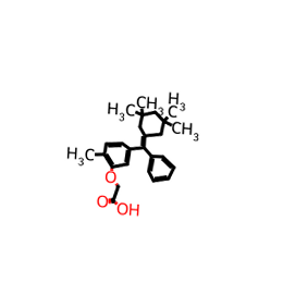 Cc1ccc(C(=C2CC(C)(C)CC(C)(C)C2)c2ccccc2)cc1OCC(=O)O